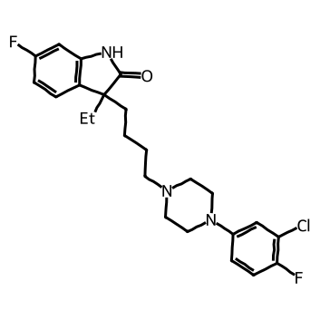 CCC1(CCCCN2CCN(c3ccc(F)c(Cl)c3)CC2)C(=O)Nc2cc(F)ccc21